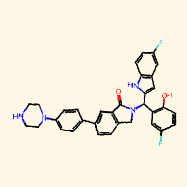 O=C1c2cc(-c3ccc(N4CCNCC4)cc3)ccc2CN1[C@@H](c1cc2cc(F)ccc2[nH]1)c1cc(F)ccc1O